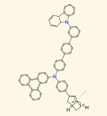 C[C@H]1C[C@H]2C[C@H]3CC(c4ccc(N(c5ccc(-c6ccc(-c7cccc(N8c9ccccc9C9C=CC=CC98)c7)cc6)cc5)c5ccc6c7ccccc7c7ccccc7c6c5)cc4)(CC23)C1